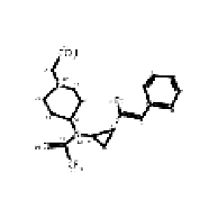 CC/C(=C\c1ccccc1)[C@@H]1C[C@H]1N(C(=O)C(F)(F)F)C1CCN(CC(=O)O)CC1